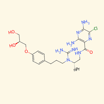 CCC[C@@H](CNC(=O)c1nc(Cl)c(N)nc1N)N(CCCc1ccc(OC[C@@H](O)CO)cc1)C(=N)N